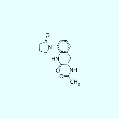 CC(=O)NC1Cc2cccc(N3CCCC3=O)c2NC1=O